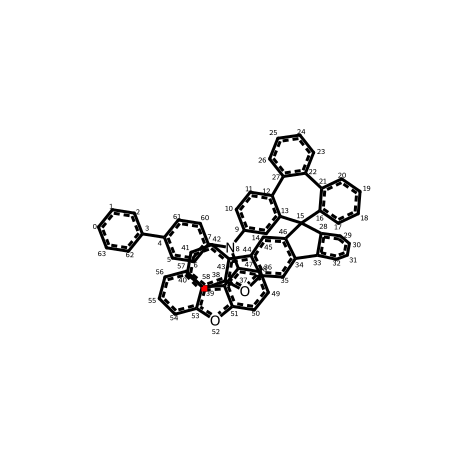 c1ccc(-c2ccc(N(c3ccc4c(c3)C3(c5ccccc5-c5ccccc5-4)c4ccccc4-c4cc5oc6ccccc6c5cc43)c3cccc4oc5ccccc5c34)cc2)cc1